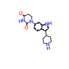 O=C1CCN(c2ccc3c(C4CCNCC4)c[nH]c3c2)C(=O)N1